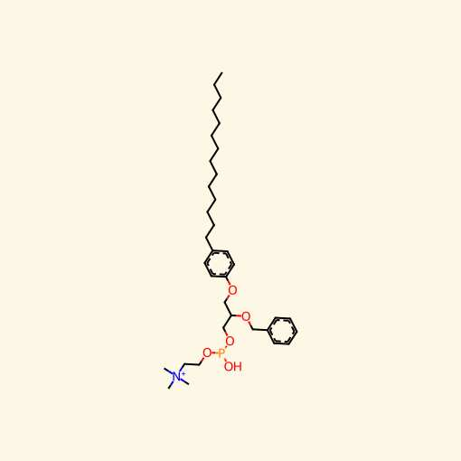 CCCCCCCCCCCCCCc1ccc(OCC(COP(O)OCC[N+](C)(C)C)OCc2ccccc2)cc1